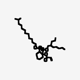 C=CC(=O)OC1(C(=O)OCC(CCC)CCCCC)CCCCC1C(=O)OCCCCCCCCCCC(C)C